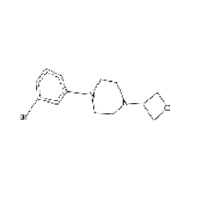 Brc1cccc(N2CCN(C3COC3)CC2)c1